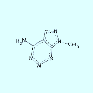 Cn1ncc2c(N)nnnc21